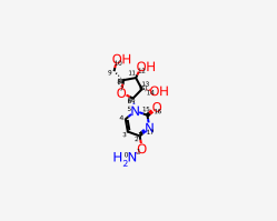 NOc1ccn([C@@H]2O[C@H](CO)C(O)[C@@H]2O)c(=O)n1